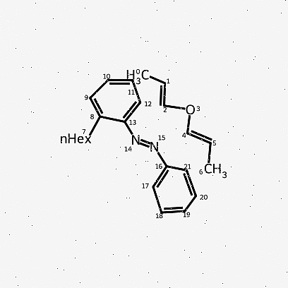 CC=COC=CC.CCCCCCc1ccccc1N=Nc1ccccc1